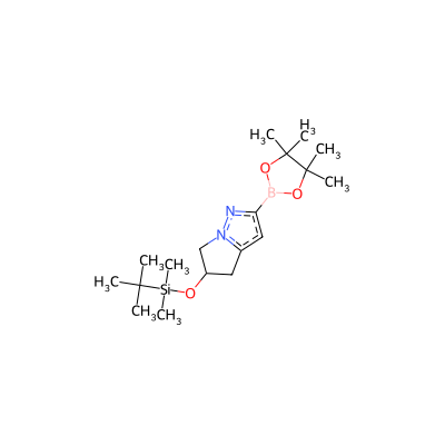 CC1(C)OB(c2cc3n(n2)CC(O[Si](C)(C)C(C)(C)C)C3)OC1(C)C